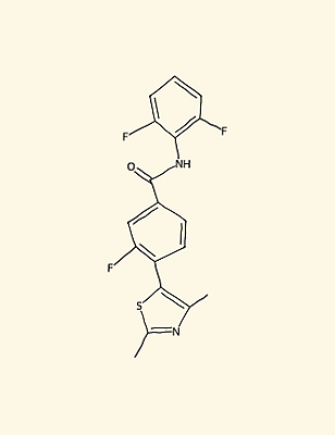 Cc1nc(C)c(-c2ccc(C(=O)Nc3c(F)cccc3F)cc2F)s1